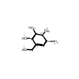 N[C@H]1C=C(CO)[C@@H](O)C(O)[C@H]1O